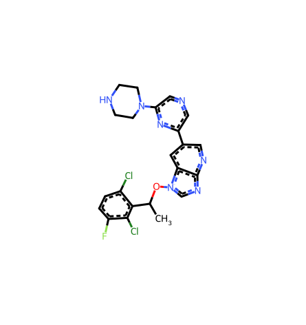 CC(On1cnc2ncc(-c3cncc(N4CCNCC4)n3)cc21)c1c(Cl)ccc(F)c1Cl